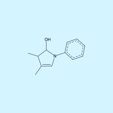 CC1=CN(c2ccccc2)C(O)C1C